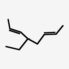 CC=CC[C](C=CC)CC